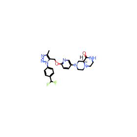 Cc1nnn(-c2ccc(C(F)F)cc2)c1COc1ccc(N2CCN3CCNC(=O)[C@@H]3C2)cn1